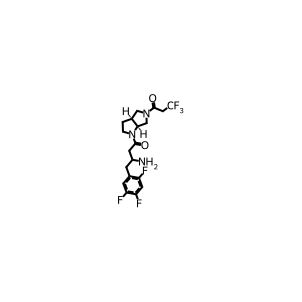 NC(CC(=O)N1CC[C@H]2CN(C(=O)CC(F)(F)F)C[C@H]21)Cc1cc(F)c(F)cc1F